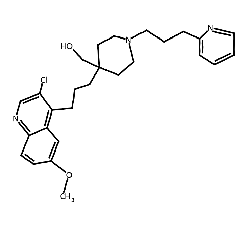 COc1ccc2ncc(Cl)c(CCCC3(CO)CCN(CCCc4ccccn4)CC3)c2c1